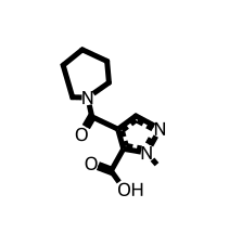 Cn1ncc(C(=O)N2CCCCC2)c1C(=O)O